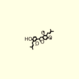 COc1cc2c(c(OC)c1CC=C(C)C)CC(c1ccc(O)c(CC=C(C)C)c1OC)CO2